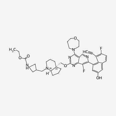 C#Cc1c(F)ccc2cc(O)cc(-c3ncc4c(N5CCCOCC5)nc(OC[C@]56CCC[C@H]5N(CC5CC(NC(=O)OCC)C5)CCC6)nc4c3F)c12